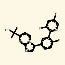 CC(C)(O)c1ccn2c(-c3ccc(F)c(-c4ncc(F)cc4F)c3)cnc2n1